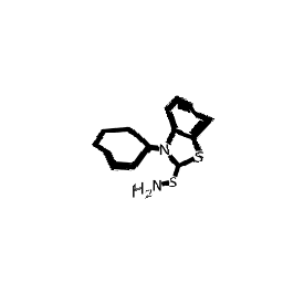 NSC1Sc2ccccc2N1C1CCCCC1